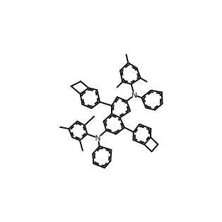 Cc1cc(C)c(N(c2ccccc2)c2cc(-c3ccc4c(c3)CC4)c3cc(N(c4ccccc4)c4c(C)cc(C)cc4C)cc(-c4ccc5c(c4)CC5)c3c2)c(C)c1